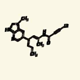 C=C/C=C(\C=C(/C)NC(=O)C#CCC)c1cnc2[nH]cc(C)c2c1